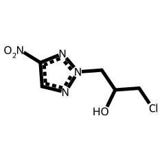 O=[N+]([O-])c1cnn(CC(O)CCl)n1